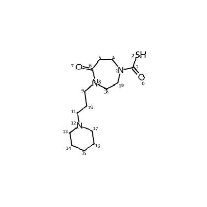 O=C(S)N1CCC(=O)N(CCCN2CCCCC2)CC1